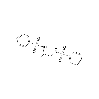 [CH2]C(CNS(=O)(=O)c1ccccc1)NS(=O)(=O)c1ccccc1